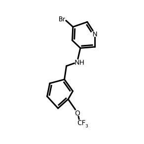 FC(F)(F)Oc1cccc(CNc2cncc(Br)c2)c1